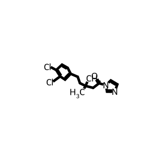 CC(C)(CCc1ccc(Cl)c(Cl)c1)CC(=O)n1ccnc1